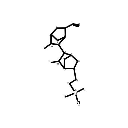 C=CC1CC2CC1C(C1C3CC(CC[Si](C)(C)Cl)C(C3)C1C)C2C